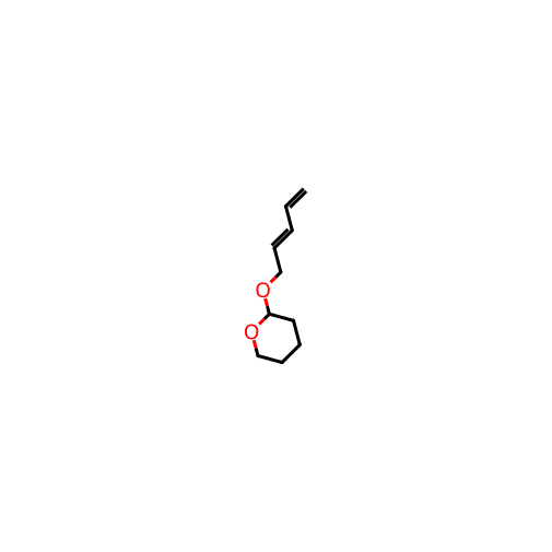 C=CC=CCOC1CCCCO1